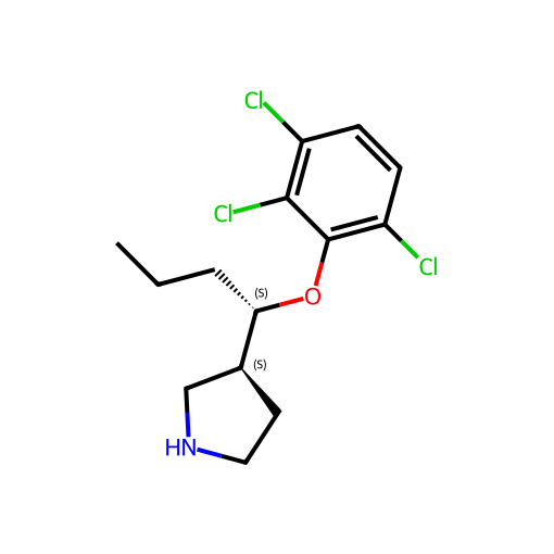 CCC[C@H](Oc1c(Cl)ccc(Cl)c1Cl)[C@H]1CCNC1